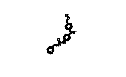 CCOCc1ccc([S+]([O-])c2ccc(NC(=O)NCc3cccnc3)cc2)cc1